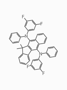 CC1(C)c2ccccc2-c2c1c(N(c1ccccc1)c1cc(F)cc(F)c1)c1ccccc1c2N(c1ccccc1)c1cc(F)cc(F)c1